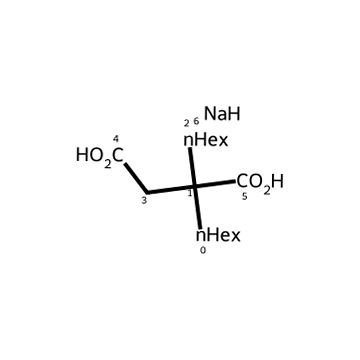 CCCCCCC(CCCCCC)(CC(=O)O)C(=O)O.[NaH]